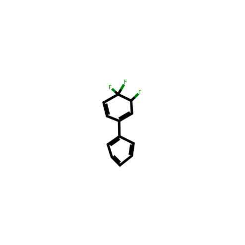 FC1C=C(c2ccccc2)C=CC1(F)F